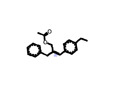 CCc1ccc(/C=C(\COC(C)=O)Cc2ccccc2)cc1